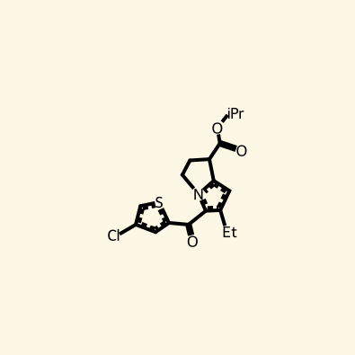 CCc1cc2n(c1C(=O)c1cc(Cl)cs1)CCC2C(=O)OC(C)C